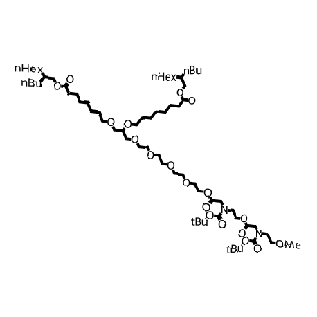 CCCCCCC(CCCC)COC(=O)CCCCCCCOCC(COCCOCCOCCOCCOC(=O)CN(CCOC(=O)CN(CCOC)C(=O)OC(C)(C)C)C(=O)OC(C)(C)C)OCCCCCCCC(=O)OCC(CCCC)CCCCCC